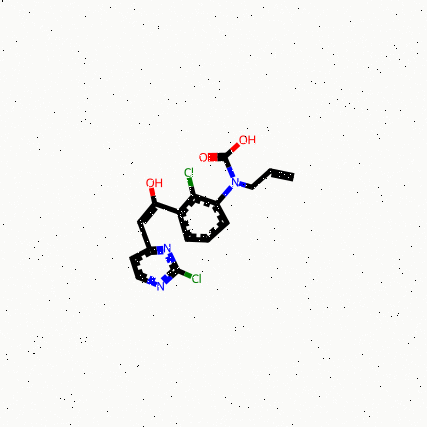 C=CCN(C(=O)O)c1cccc(/C(O)=C\c2ccnc(Cl)n2)c1Cl